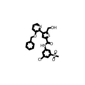 CS(=O)(=O)c1cc(Cl)cc(NC(=O)c2cc(-c3ncccc3OCc3ccccc3)c(CO)s2)c1